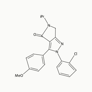 COc1ccc(-c2c3c(nn2-c2ccccc2Cl)CN(C(C)C)C3=O)cc1